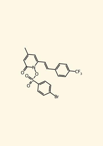 Cc1cc(C=Cc2ccc(C(F)(F)F)cc2)n(OS(=O)(=O)c2ccc(Br)cc2)c(=O)c1